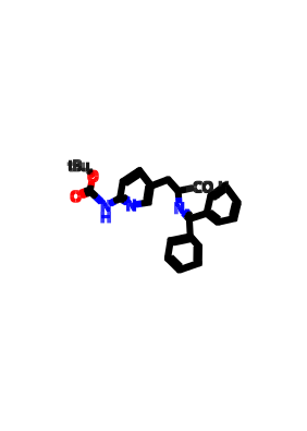 CC(C)(C)OC(=O)Nc1ccc(CC(N=C(c2ccccc2)c2ccccc2)C(=O)O)cn1